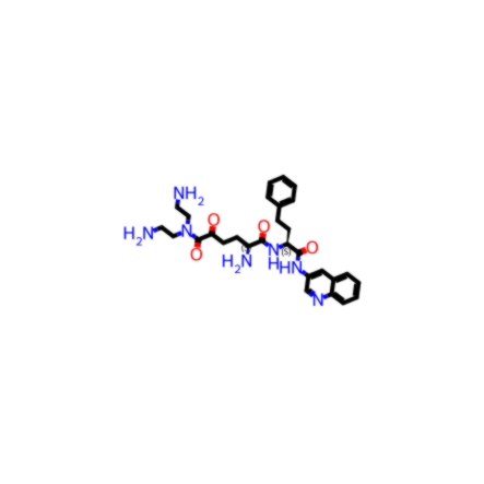 NCCN(CCN)C(=O)C(=O)CC[C@H](N)C(=O)N[C@@H](CCc1ccccc1)C(=O)Nc1cnc2ccccc2c1